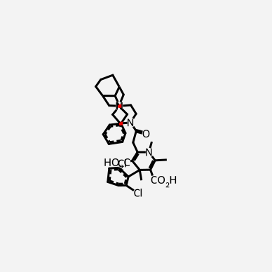 CC1=C(C(=O)O)C(C)(c2c(Cl)cccc2Cl)C(C(=O)O)=C(CC(=O)N2CCN(C3C4CCCC3CN(Cc3ccccc3)C4)CC2)N1C